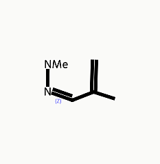 C=C(C)/C=N\NC